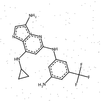 Nc1cc(Nc2cc(NC3CC3)c3ncc(N)n3n2)cc(C(F)(F)F)c1